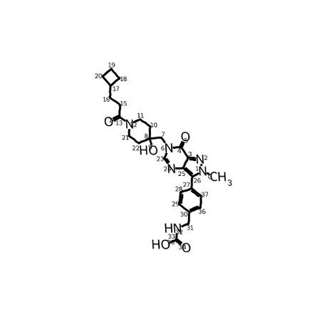 Cn1nc2c(=O)n(CC3(O)CCN(C(=O)CCC4CCC4)CC3)cnc2c1-c1ccc(CNC(=O)O)cc1